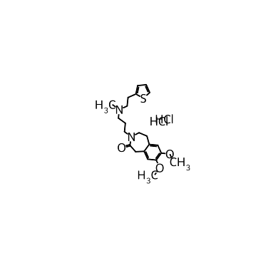 COc1cc2c(cc1OC)CC(=O)N(CCCN(C)CCc1cccs1)CC2.Cl.Cl